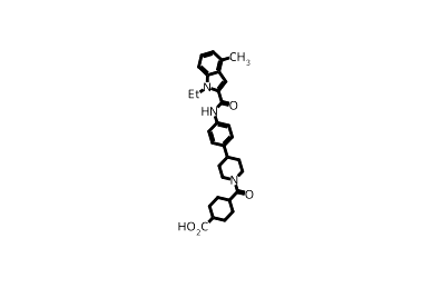 CCn1c(C(=O)Nc2ccc(C3CCN(C(=O)C4CCC(C(=O)O)CC4)CC3)cc2)cc2c(C)cccc21